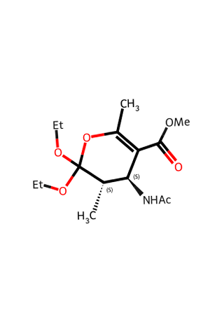 CCOC1(OCC)OC(C)=C(C(=O)OC)[C@@H](NC(C)=O)[C@@H]1C